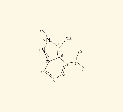 CC(C)c1cccc2nn(C)c(F)c12